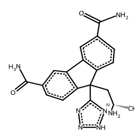 C[C@H](N)CC1(c2nn[nH]n2)c2ccc(C(N)=O)cc2-c2cc(C(N)=O)ccc21